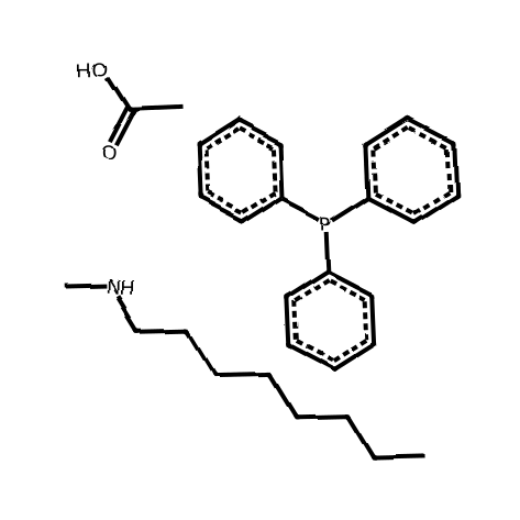 CC(=O)O.CCCCCCCCNC.c1ccc(P(c2ccccc2)c2ccccc2)cc1